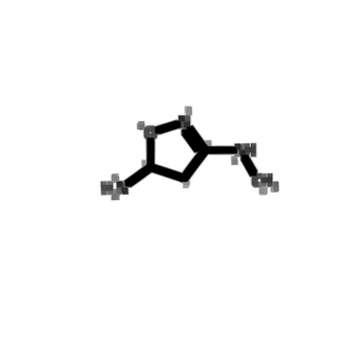 CNC1=NOC(N)C1